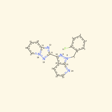 Fc1ccccc1Cn1nc(-c2nc3ccccn3n2)c2cccnc21